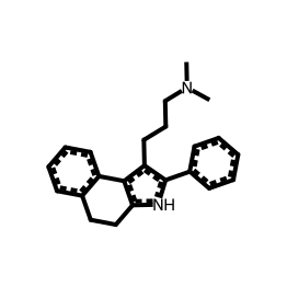 CN(C)CCCc1c(-c2ccccc2)[nH]c2c1-c1ccccc1CC2